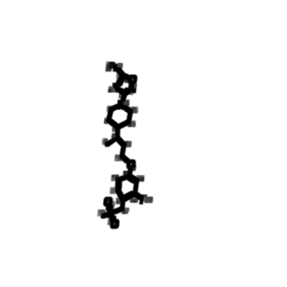 CC(C)c1nc(N2CCC([C@H](C)CCOc3ccc(CS(C)(=O)=O)c(F)c3)CC2)no1